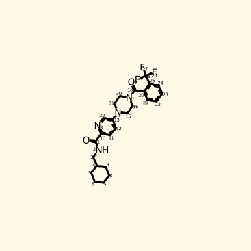 O=C(NCC1CCCCC1)c1ccc(N2CCN(C(=O)c3ccccc3C(F)(F)F)CC2)cn1